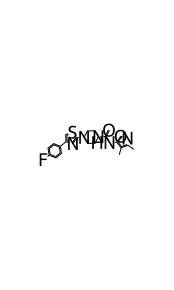 Cc1noc(NC(=O)N2CCN(c3nc(-c4ccc(F)cc4)cs3)CC2)c1C